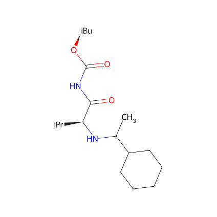 CC[C@H](C)OC(=O)NC(=O)[C@@H](NC(C)C1CCCCC1)C(C)C